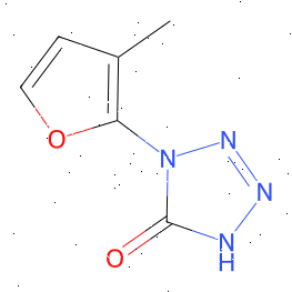 Cc1ccoc1-n1nn[nH]c1=O